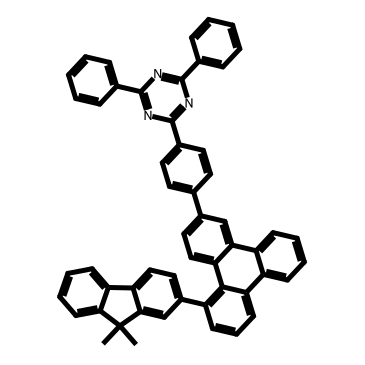 CC1(C)c2ccccc2-c2ccc(-c3cccc4c5ccccc5c5cc(-c6ccc(-c7nc(-c8ccccc8)nc(-c8ccccc8)n7)cc6)ccc5c34)cc21